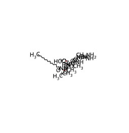 CCCCCCCCCCCCCCCC(=O)N[C@@H](CC(C)C)C(=O)N[C@@H](C)C(=O)N[C@@H](Cc1ccc(O)cc1)C(=O)N[C@@H](C)C(=O)N[C@@H](CCCNC(=N)N)C(=O)NC